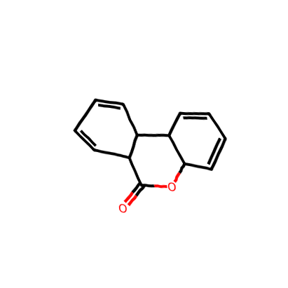 O=C1OC2C=CC=CC2C2C=CC=CC12